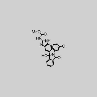 COC(=O)Nc1nc2cc(C3(O)c4ccccc4C(=O)N3c3cccc(Cl)c3)ccc2[nH]1